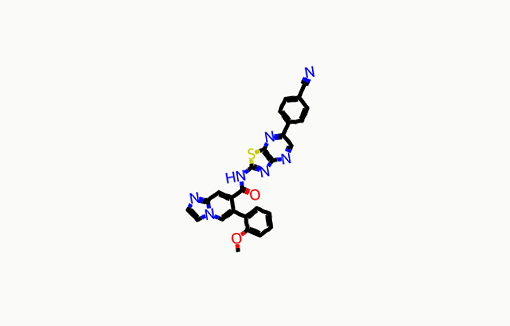 COc1ccccc1-c1cn2ccnc2cc1C(=O)Nc1nc2ncc(-c3ccc(C#N)cc3)nc2s1